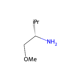 COC[C@@H](N)C(C)C